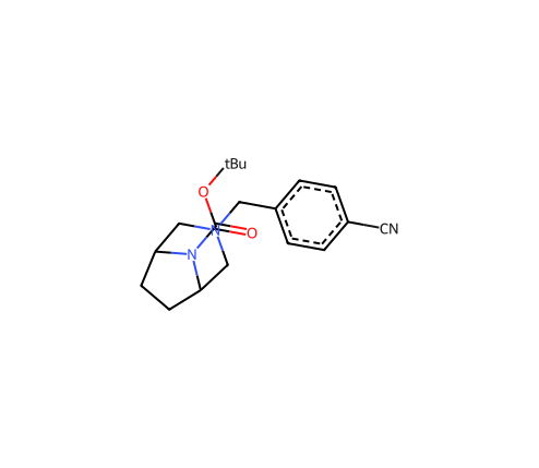 CC(C)(C)OC(=O)N1C2CCC1CN(Cc1ccc(C#N)cc1)C2